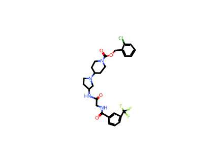 O=C(CNC(=O)c1cccc(C(F)(F)F)c1)NC1CCN(C2CCN(C(=O)OCc3ccccc3Cl)CC2)C1